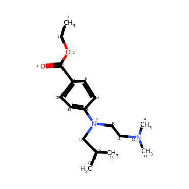 CCOC(=O)c1ccc(N(CCN(C)C)CC(C)C)cc1